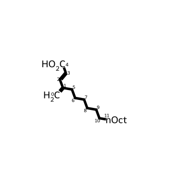 C=C(C=CC(=O)O)CCCCCCCCCCCCCC